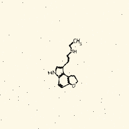 CCNCCc1c[nH]c2ccc3c(c12)CCO3